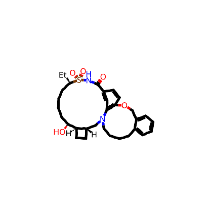 CC[C@@H]1CCCC[C@H](O)[C@@H]2CC[C@H]2CN2CCCCc3ccccc3COc3ccc(cc32)C(=O)NS1(=O)=O